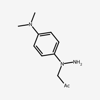 CC(=O)CN(N)c1ccc(N(C)C)cc1